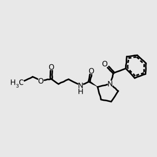 CCOC(=O)CCNC(=O)[C@@H]1CCCN1C(=O)c1ccccc1